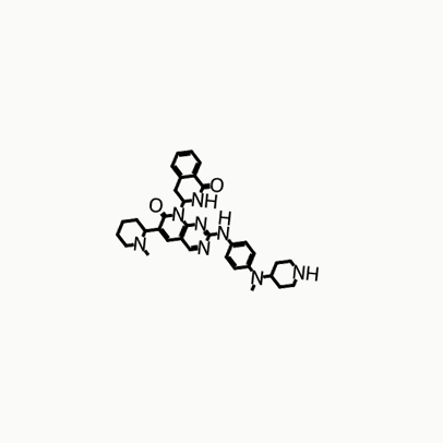 CN1CCCCC1c1cc2cnc(Nc3ccc(N(C)C4CCNCC4)cc3)nc2n(C2Cc3ccccc3C(=O)N2)c1=O